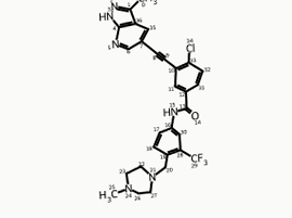 Cc1n[nH]c2ncc(C#Cc3cc(C(=O)Nc4ccc(CN5CCN(C)CC5)c(C(F)(F)F)c4)ccc3Cl)cc12